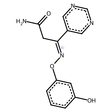 NC(=O)C/C(=N\Oc1cccc(O)c1)c1cncnc1